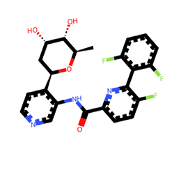 C[C@H]1O[C@@H](c2ccncc2NC(=O)c2ccc(F)c(-c3c(F)cccc3F)n2)C[C@H](O)[C@@H]1O